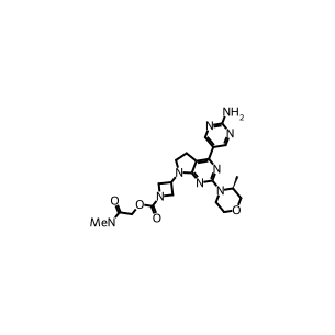 CNC(=O)COC(=O)N1CC(N2CCc3c(-c4cnc(N)nc4)nc(N4CCOC[C@@H]4C)nc32)C1